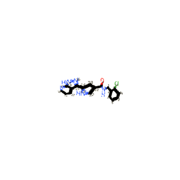 O=C(NCc1ccccc1Cl)c1c[nH]c(-c2n[nH]c3ncccc23)c1